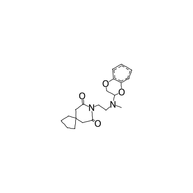 CN(CCN1C(=O)CC2(CCCC2)CC1=O)C1COc2ccccc2O1